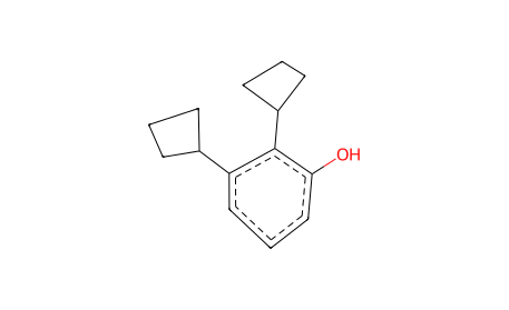 Oc1cccc(C2CCC2)c1C1CCC1